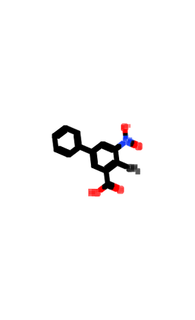 Cc1c(C(=O)O)cc(-c2ccccc2)cc1[N+](=O)[O-]